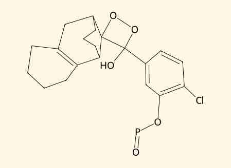 O=POc1cc(C2(O)OOC23C2CCCC3C3=C(CCCC3)C2)ccc1Cl